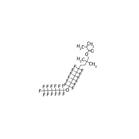 C=C(C)C(=O)OCC(C)(C)CCC(F)(F)C(F)(F)C(F)(F)C(F)(F)C(F)(F)C(F)(F)OC(F)(F)C(F)(F)C(F)(F)C(F)(F)C(F)(F)C(F)(F)F